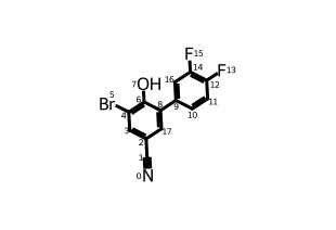 N#Cc1cc(Br)c(O)c(-c2ccc(F)c(F)c2)c1